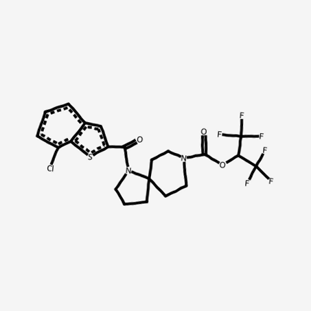 O=C(OC(C(F)(F)F)C(F)(F)F)N1CCC2(CCCN2C(=O)c2cc3cccc(Cl)c3s2)CC1